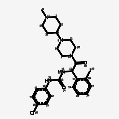 CN1CCC(N2CCN(C(=O)C(NC(=O)Nc3ccc(Cl)cc3)c3ccccc3I)CC2)CC1